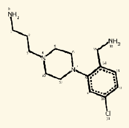 NCCCN1CCN(c2cc(Cl)ccc2CN)CC1